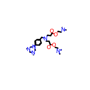 CN(C)CCOC(=O)CCN(CCC(=O)OCC[N+](C)(C)C)Cc1ccc(N2CN(C)CN(C)C2)cc1